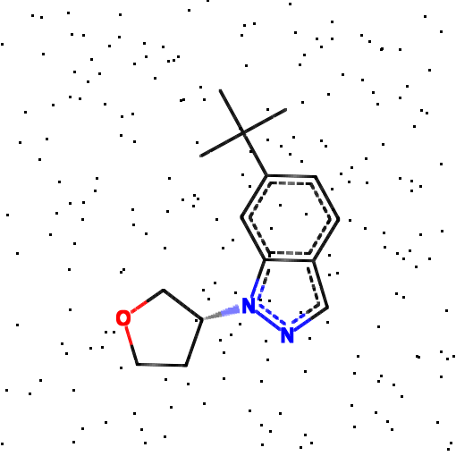 CC(C)(C)c1ccc2cnn([C@@H]3CCOC3)c2c1